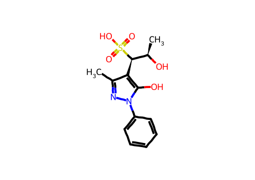 Cc1nn(-c2ccccc2)c(O)c1[C@H]([C@@H](C)O)S(=O)(=O)O